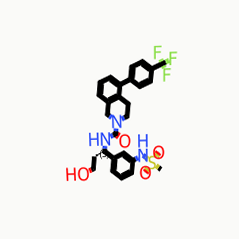 CS(=O)(=O)Nc1cccc([C@H](CCO)NC(=O)N2CCc3c(cccc3-c3ccc(C(F)(F)F)cc3)C2)c1